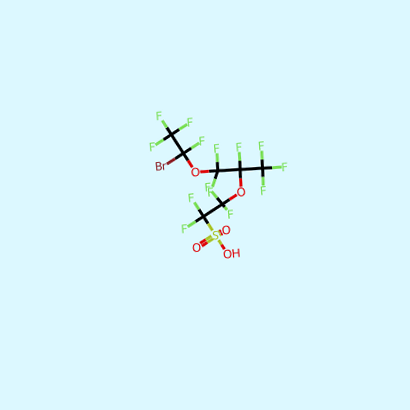 O=S(=O)(O)C(F)(F)C(F)(F)OC(F)(C(F)(F)F)C(F)(F)OC(F)(Br)C(F)(F)F